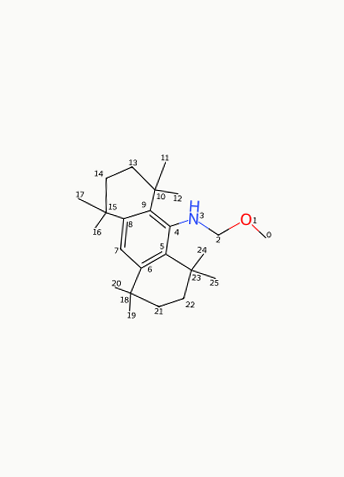 COCNc1c2c(cc3c1C(C)(C)CCC3(C)C)C(C)(C)CCC2(C)C